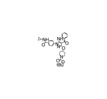 CC(C)(C)OC(=O)N1CCC(Oc2nn(-c3ccc(C(=O)NC4CC4)cc3)c(N)c2C(=O)c2ccccc2)CC1